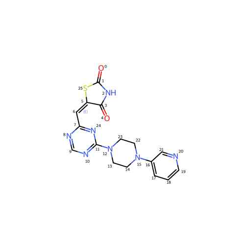 O=C1NC(=O)/C(=C\c2ncnc(N3CCN(c4cccnc4)CC3)n2)S1